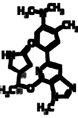 Cc1cc(-c2cc3ncn(C)c3c(O[C@H](C)[C@H]3CNC(=O)C3)n2)ccc1N(C)C